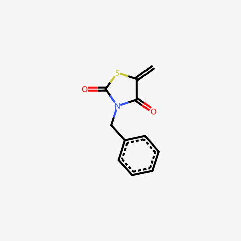 C=C1SC(=O)N(Cc2ccccc2)C1=O